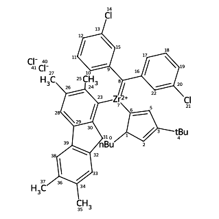 CCCCC1C=C(C(C)(C)C)C=[C]1[Zr+2](=[C](c1cccc(Cl)c1)c1cccc(Cl)c1)[c]1c(C)c(C)cc2c1Cc1cc(C)c(C)cc1-2.[Cl-].[Cl-]